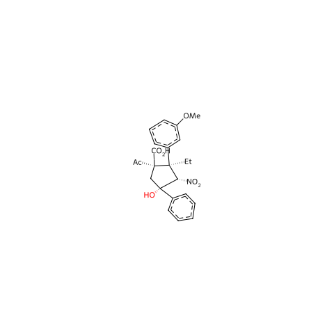 CC[C@]1(c2cccc(OC)c2)[C@H]([N+](=O)[O-])[C@@](O)(c2ccccc2)C[C@@]1(C(C)=O)C(=O)O